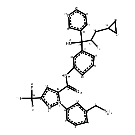 NCc1cccc(-n2nc(C(F)(F)F)cc2C(=O)Nc2cccc(C(O)(c3cccnc3)C(I)CC3CC3)c2)c1